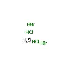 Br.Br.Cl.Cl.[SiH4]